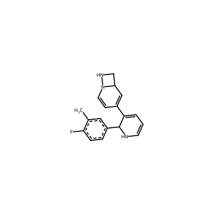 Cc1cc(C2NC=CC=C2C2=CC3CNN3C=C2)ccc1F